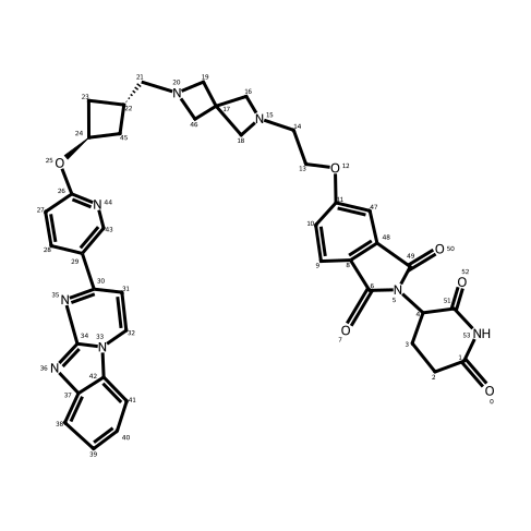 O=C1CCC(N2C(=O)c3ccc(OCCN4CC5(C4)CN(C[C@H]4C[C@H](Oc6ccc(-c7ccn8c(n7)nc7ccccc78)cn6)C4)C5)cc3C2=O)C(=O)N1